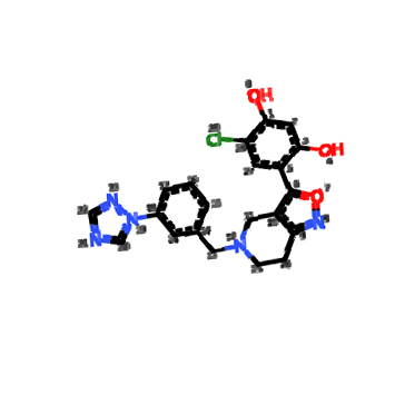 Oc1cc(O)c(-c2onc3c2CN(Cc2cccc(-n4cncn4)c2)CC3)cc1Cl